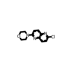 Clc1ccc2nc(N3CCOCC3)ccc2n1